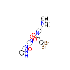 CCN(CC)CCC1CCN(C(=O)C(Cc2ccc(Br)c(Br)c2)OC(=O)N2CCC(N3CCc4ccccc4NC3=O)CC2)CC1